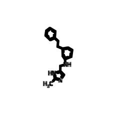 Cc1ncc(CNc2cccc(CCc3ccccc3)c2)[nH]1